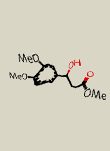 COC(=O)CC(O)c1ccc(OC)c(OC)c1